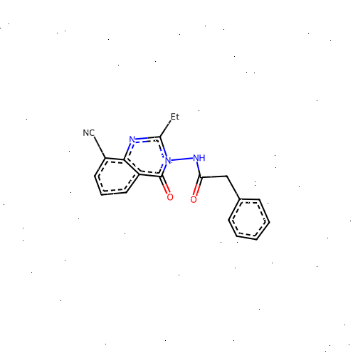 CCc1nc2c(C#N)cccc2c(=O)n1NC(=O)Cc1ccccc1